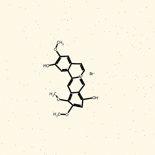 COc1cc2cc[n+]3cc4c(O)cc(OC)c(OC)c4cc3c2cc1O.[Br-]